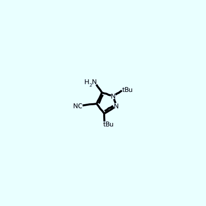 CC(C)(C)c1nn(C(C)(C)C)c(N)c1C#N